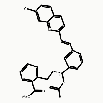 C=C(C)S[C@H](CCc1ccccc1C(=O)OC)c1cccc(/C=C/c2ccc3ccc(Cl)cc3n2)c1